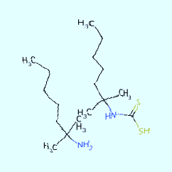 CCCCCC(C)(C)N.CCCCCC(C)(C)NC(=S)S